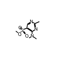 COS(=O)(=O)c1cnc(C)nc1N(C)C